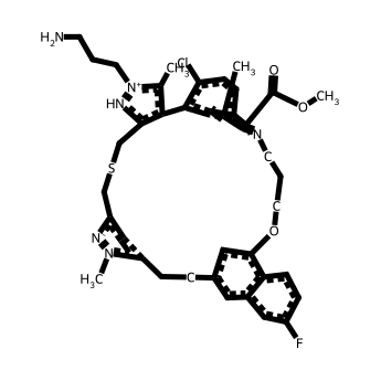 COC(=O)c1c(C)c2c3c(Cl)ccc2n1CCCOc1cc(cc2cc(F)ccc12)CCc1cc(nn1C)CSCc1[nH][n+](CCCN)c(C)c1-3